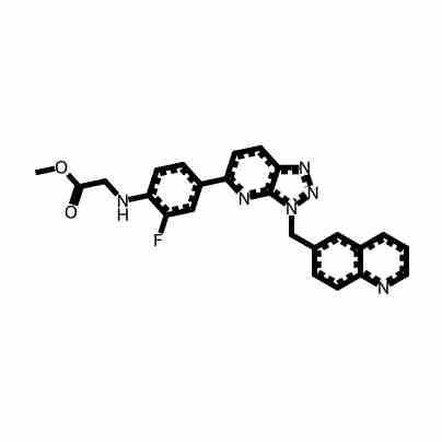 COC(=O)CNc1ccc(-c2ccc3nnn(Cc4ccc5ncccc5c4)c3n2)cc1F